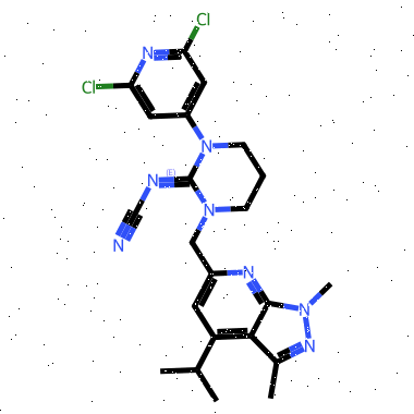 Cc1nn(C)c2nc(CN3CCCN(c4cc(Cl)nc(Cl)c4)/C3=N/C#N)cc(C(C)C)c12